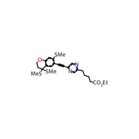 CCOC(=O)CCCCc1cnc(C#Cc2cc3c(cc2SC)OCCC3(SC)SC)cn1